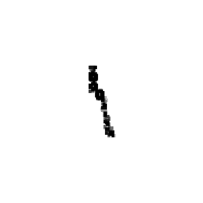 CN(C)c1ccc(-c2cc(-c3ccc(OCCOCCOCCO[Si](C)(C)C(C)(C)C)cc3)on2)cc1